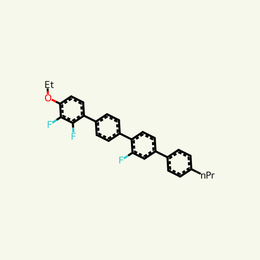 CCCc1ccc(-c2ccc(-c3ccc(-c4ccc(OCC)c(F)c4F)cc3)c(F)c2)cc1